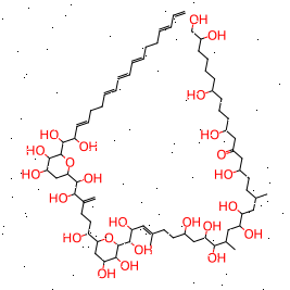 C=C/C=C/CC/C=C/C=C/C=C/CC/C=C/C(O)C(O)C1OC(C(O)C(O)C(=C)CCC(O)C2CC(O)C(O)C(C(O)C(O)/C=C(\C)CCC(O)CC(O)C(O)C(C)CC(O)C(O)CC(C)CCC(O)CC(=O)CC(O)CCCC(O)CCCCC(O)CO)O2)CC(O)C1O